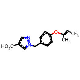 C/C(=C\C(F)(F)F)Oc1ccc(Cn2cc(C(=O)O)cn2)cc1